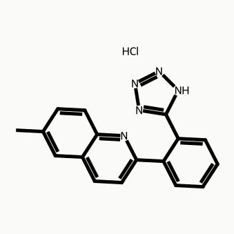 Cc1ccc2nc(-c3ccccc3-c3nnn[nH]3)ccc2c1.Cl